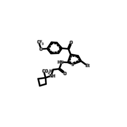 CCc1cc(C(=O)c2ccc(OC(F)(F)F)cc2)c(NC(=O)CNC2(C(=O)O)CCC2)s1